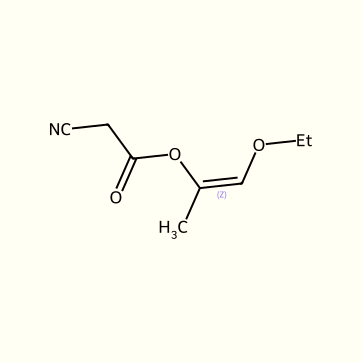 CCO/C=C(/C)OC(=O)CC#N